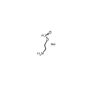 NCCO[PH2]=O.[Na]